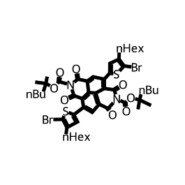 CCCCCCc1cc(-c2cc3c4c(c(-c5cc(CCCCCC)c(Br)s5)cc5c4c2C(=O)N(C(=O)OC(C)(C)CCCC)C5=O)C(=O)N(C(=O)OC(C)(C)CCCC)C3=O)sc1Br